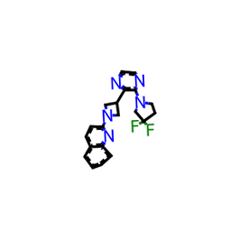 FC1(F)CCN(c2nccnc2C2CN(c3ccc4ccccc4n3)C2)C1